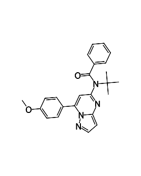 COc1ccc(-c2cc(N(C(=O)c3ccccc3)C(C)(C)C)nc3ccnn23)cc1